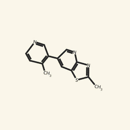 Cc1nc2ncc(-c3cnccc3C)cc2s1